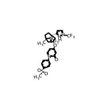 C[C@@]12CC[C@@](c3ccn(C(F)(F)F)n3)(C[C@H](Oc3ccn(-c4ccc(S(C)(=O)=O)cc4)c(=O)c3)C1)N2C(=O)O